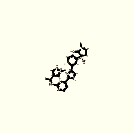 CC(Nc1nccc(-c2nc(-c3cc([C@]4(O)CCN(C)C4=O)ccn3)cs2)n1)c1cnn(C)c1